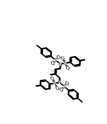 C/C(=C/CN(S(=O)(=O)c1ccc(C)cc1)S(=O)(=O)c1ccc(C)cc1)CN(S(=O)(=O)c1ccc(C)cc1)S(=O)(=O)c1ccc(C)cc1